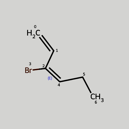 C=C/C(Br)=C\CC